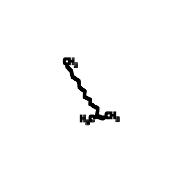 CC=C(C)CCCCCCCCCCC